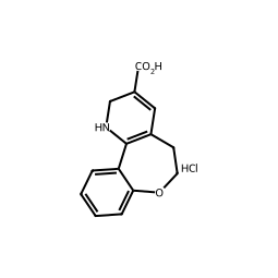 Cl.O=C(O)C1=CC2=C(NC1)c1ccccc1OCC2